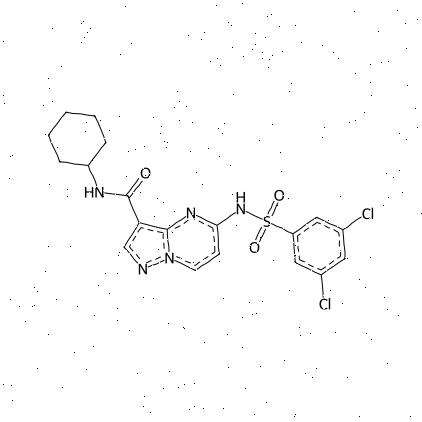 O=C(NC1CCCCC1)c1cnn2ccc(NS(=O)(=O)c3cc(Cl)cc(Cl)c3)nc12